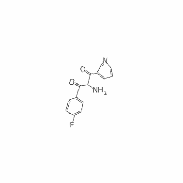 NC(C(=O)c1ccc(F)cc1)C(=O)c1cccnc1